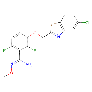 CO/N=C(\N)c1c(F)ccc(OCc2nc3cc(Cl)ccc3s2)c1F